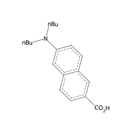 CCCCN(CCCC)c1ccc2cc(C(=O)O)ccc2c1